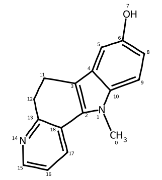 Cn1c2c(c3cc(O)ccc31)CCc1ncccc1-2